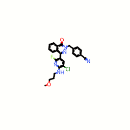 COCCCNc1nc(F)c(-c2nn(Cc3ccc(C#N)cc3)c(=O)c3ccccc23)cc1Cl